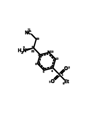 CCS(=O)(=O)c1ccc([C@@H](N)CC#N)nc1